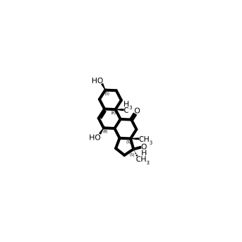 C[C@]12CC[C@H](O)CC1=C[C@H](O)C1C2C(=O)C[C@@]2(C)C1CC[C@]2(C)O